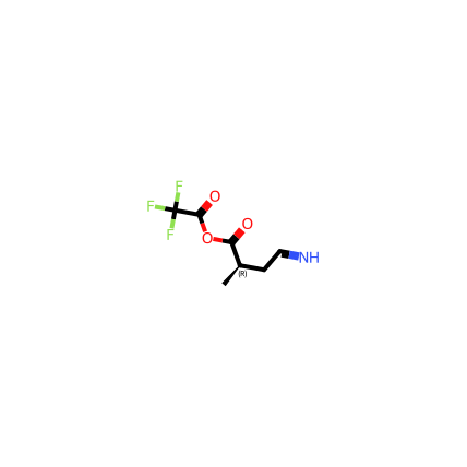 C[C@H](CC=N)C(=O)OC(=O)C(F)(F)F